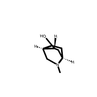 CN1C[C@H]2CC[C@@H]1C[C@H]2O